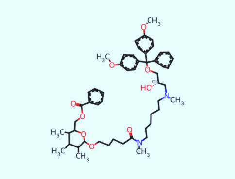 COc1ccc(C(OC[C@@H](O)CN(C)CCCCCCN(C)C(=O)CCCCOC2OC(COC(=O)c3ccccc3)C(C)C(C)C2C)(c2ccccc2)c2ccc(OC)cc2)cc1